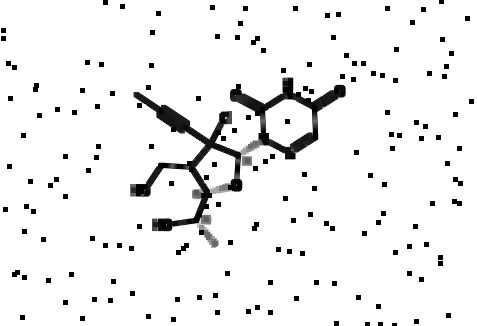 CC#CC1(Cl)C(CO)[C@@H]([C@H](C)O)O[C@H]1n1ncc(=O)[nH]c1=O